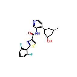 C[C@@H]1C[C@@H](O)C[C@H](c2ccncc2NC(=O)c2csc(-c3c(F)cccc3F)n2)C1